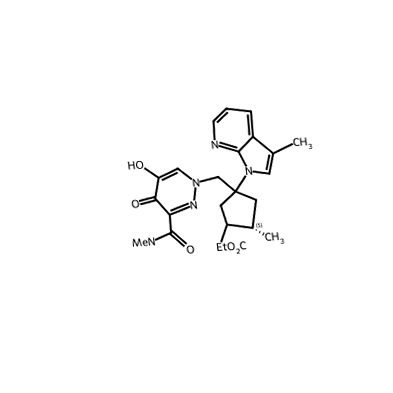 CCOC(=O)C1CC(Cn2cc(O)c(=O)c(C(=O)NC)n2)(n2cc(C)c3cccnc32)C[C@@H]1C